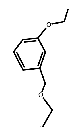 [CH2]COCc1cccc(OCC)c1